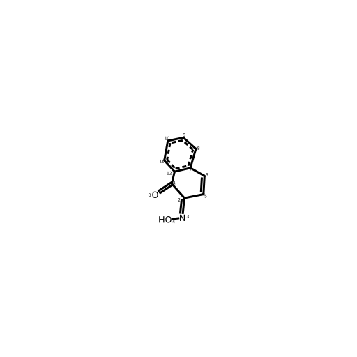 O=C1C(=NO)C=Cc2ccccc21